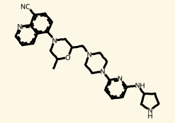 CC1CN(c2ccc(C#N)c3ncccc23)CC(CN2CCN(c3cccc(NC4CCNC4)n3)CC2)O1